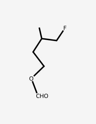 CC(CF)CCOC=O